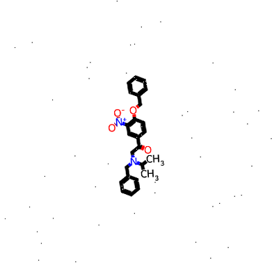 CC(C)N(CC(=O)c1ccc(OCc2ccccc2)c([N+](=O)[O-])c1)Cc1ccccc1